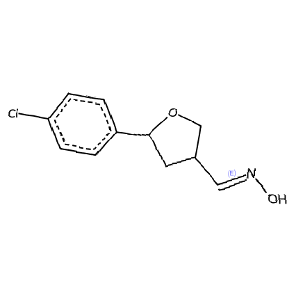 O/N=C/C1COC(c2ccc(Cl)cc2)C1